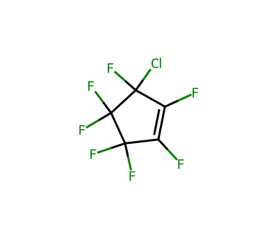 FC1=C(F)C(F)(Cl)C(F)(F)C1(F)F